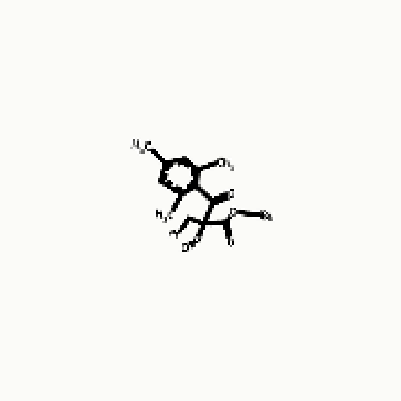 CCC(C)OC(=O)C(CC(C)C)(P=O)C(=O)c1c(C)cc(C)cc1C